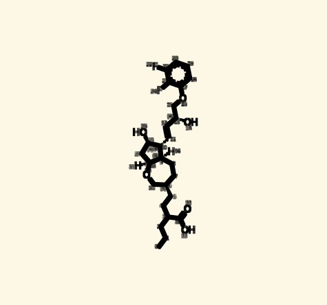 CCCC(CC[C@@H]1CC[C@@H]2[C@@H](C=C[C@@H](O)COc3cccc(F)c3F)[C@H](O)C[C@@H]2OC1)C(=O)O